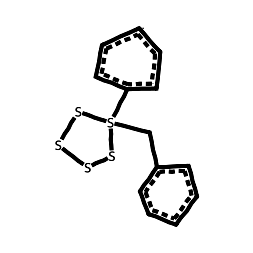 [c]1ccc(S2(Cc3ccccc3)SSSS2)cc1